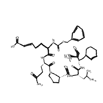 CC(C)C[C@H](NC(=O)[C@@H]1CCCN1C(=O)[C@H](CCC(N)=O)NC(=O)C(CC/C=C/C(=O)O)NC(=O)OCc1ccccc1)C(=O)N[C@H](C(N)=O)C1CCCCC1